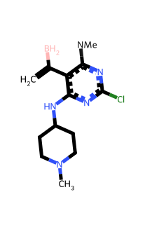 BC(=C)c1c(NC)nc(Cl)nc1NC1CCN(C)CC1